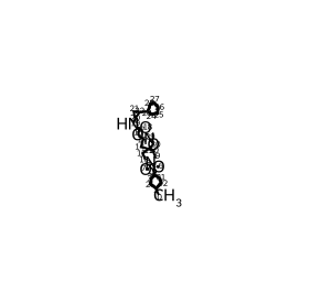 Cc1ccc(S(=O)(=O)N2CCC3(CC2)CC(OC(=O)NC2CC2c2ccccc2)=NO3)cc1